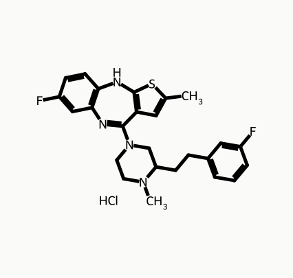 Cc1cc2c(s1)Nc1ccc(F)cc1N=C2N1CCN(C)C(CCc2cccc(F)c2)C1.Cl